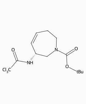 CC(C)(C)OC(=O)N1CCC=C[C@@H](NC(=O)C(Cl)(Cl)Cl)C1